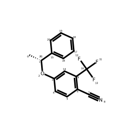 C[C@@H](Oc1ccc(C#N)c(C(F)(F)F)c1)c1ccccc1